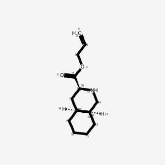 C=CCOC(=O)[C@@H]1C[C@@H]2CCCC[C@@H]2CN1